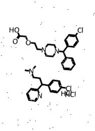 CN(C)CCC(c1ccc(Cl)cc1)c1ccccn1.Cl.Cl.O=C(O)COCCN1CCN(C(c2ccccc2)c2ccc(Cl)cc2)CC1